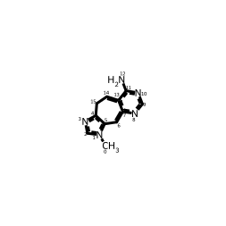 Cn1cnc2c1C=c1ncnc(N)c1=CC2